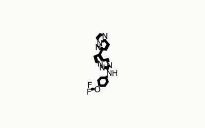 FC(F)OC1CCC(Nc2ncc3c(-c4ccc5nccn5n4)ccn3n2)CC1